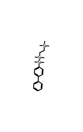 C[Si](C)(C)CC[Si](C)(C)[Si](C)(C)c1ccc(-c2ccccc2)cc1